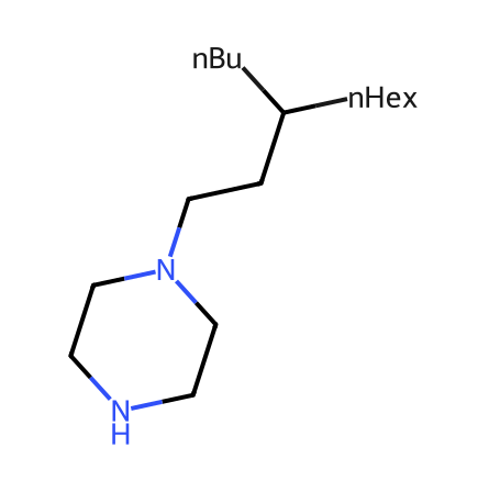 CCCCCCC(CCCC)CCN1CCNCC1